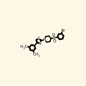 Cc1cc(C)cc(-c2csc(N3CCC(S(=O)(=O)c4cccc(Br)c4)CC3)n2)c1